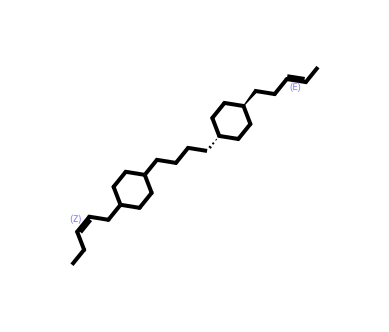 C/C=C/CC[C@H]1CC[C@H](CCCCC2CCC(C/C=C\CC)CC2)CC1